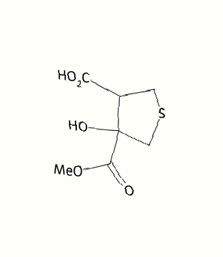 COC(=O)C1(O)CSCC1C(=O)O